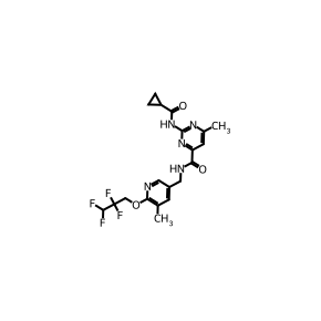 Cc1cc(C(=O)NCc2cnc(OCC(F)(F)C(F)F)c(C)c2)nc(NC(=O)C2CC2)n1